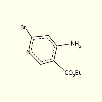 CCOC(=O)c1cnc(Br)cc1N